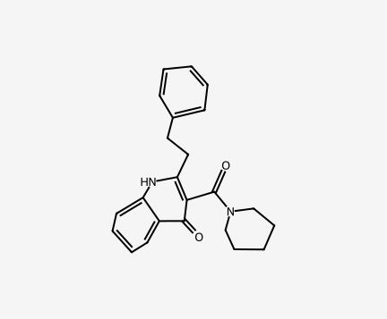 O=C(c1c(CCc2ccccc2)[nH]c2ccccc2c1=O)N1CCCCC1